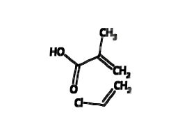 C=C(C)C(=O)O.C=CCl